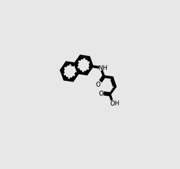 O=C(O)/C=C\C(=O)Nc1ccc2ccccc2c1